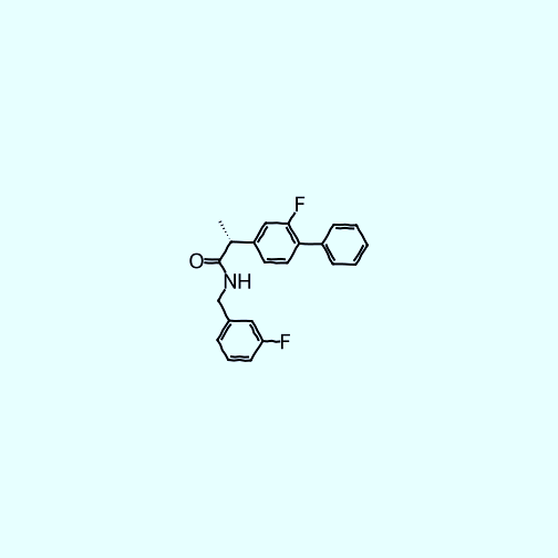 C[C@@H](C(=O)NCc1cccc(F)c1)c1ccc(-c2ccccc2)c(F)c1